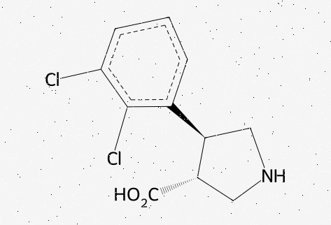 O=C(O)[C@H]1CNC[C@@H]1c1cccc(Cl)c1Cl